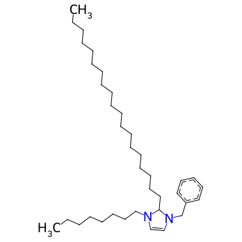 CCCCCCCCCCCCCCCCCCCC1N(CCCCCCCC)C=CN1Cc1ccccc1